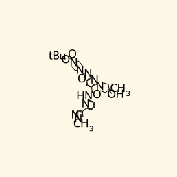 Cn1cc(-c2cccc(NC(=O)c3cc4oc(N5CCN(C(=O)OC(C)(C)C)CC5)nc4nc3N3CCC(C)(O)CC3)n2)cn1